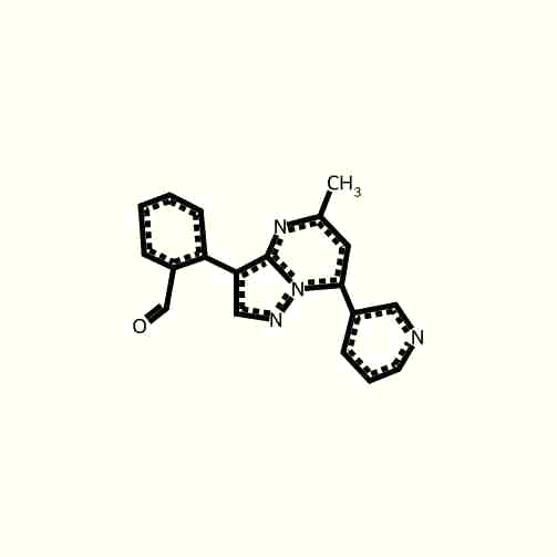 Cc1cc(-c2cccnc2)n2ncc(-c3ccccc3C=O)c2n1